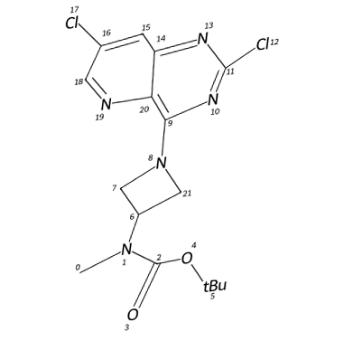 CN(C(=O)OC(C)(C)C)C1CN(c2nc(Cl)nc3cc(Cl)cnc23)C1